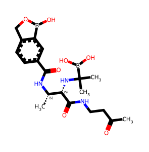 CC(=O)CCNC(=O)[C@@H](NC(C)(C)B(O)O)[C@H](C)NC(=O)c1ccc2c(c1)B(O)OC2